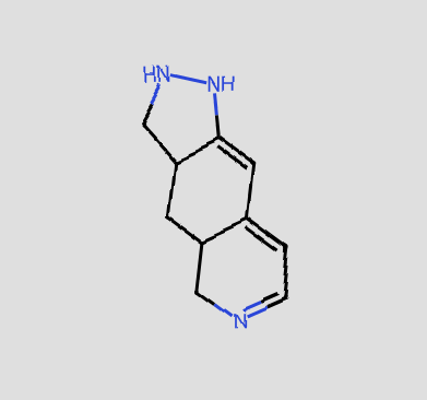 C1=NCC2CC3CNNC3=CC2=C1